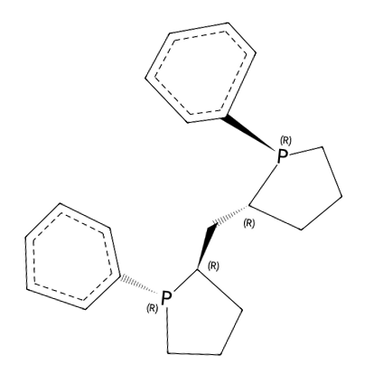 c1ccc([P@@]2CCC[C@@H]2C[C@H]2CCC[P@]2c2ccccc2)cc1